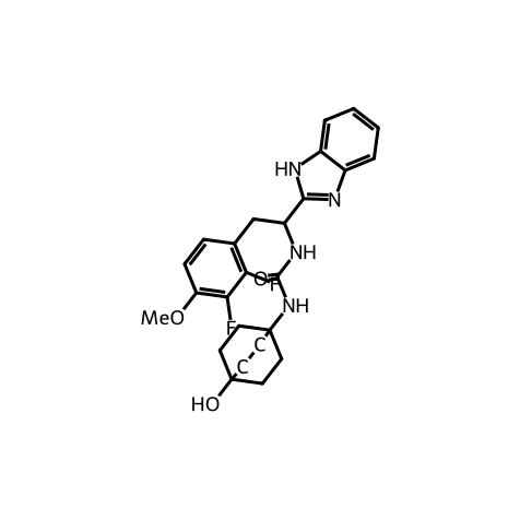 COc1ccc(CC(NC(=O)NC23CCC(O)(CC2)CC3)c2nc3ccccc3[nH]2)c(F)c1F